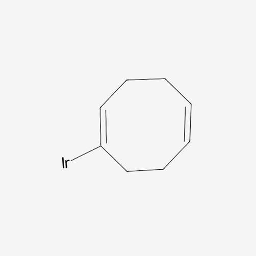 [Ir][C]1=CCCC=CCC1